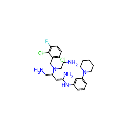 N/C=C(/C=C(\N)Nc1cccc(N2CCCCC2)c1)N(CCN)Cc1c(Cl)ccc(F)c1Cl